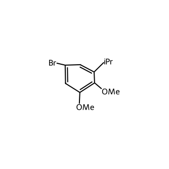 COc1cc(Br)cc(C(C)C)c1OC